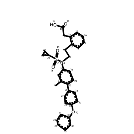 Cc1cc(N(CCc2ccccc2CC(=O)O)S(=O)(=O)C2CC2)ccc1-c1ccc(Oc2ccccc2)cc1